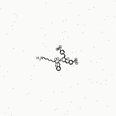 NCCCCCCC(=O)NC(Cc1ccccc1)C(=O)N1CC(=Cc2ccc([N+](=O)[O-])cc2)C(=O)C(=Cc2ccc([N+](=O)[O-])cc2)C1